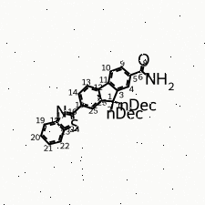 CCCCCCCCCCC1(CCCCCCCCCC)c2cc(C(N)=O)ccc2-c2ccc(-c3nc4ccccc4s3)cc21